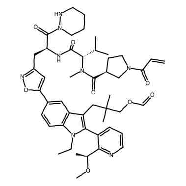 C=CC(=O)N1CC[C@H](C(=O)N(C)[C@H](C(=O)N[C@@H](Cc2cc(-c3ccc4c(c3)c(CC(C)(C)COC=O)c(-c3cccnc3[C@H](C)OC)n4CC)on2)C(=O)N2CCCCN2)C(C)C)C1